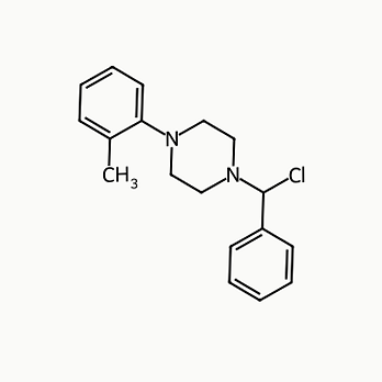 Cc1ccccc1N1CCN(C(Cl)c2ccccc2)CC1